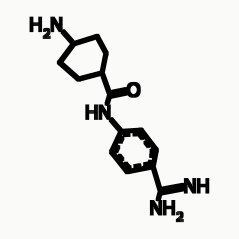 N=C(N)c1ccc(NC(=O)C2CCC(N)CC2)cc1